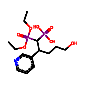 CCOP(=O)(OCC)C(C(CCCO)c1cccnc1)P(=O)(O)O